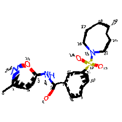 Cc1cc(NC(=O)c2cccc(S(=O)(=O)N3CCCCCC3)c2)on1